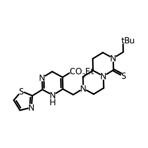 CCOC(=O)C1=C(CN2CCN3C(=S)N(CC(C)(C)C)CCC3C2)NC(c2nccs2)=NC1